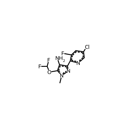 Cn1nc(-c2ncc(Cl)cc2F)c(N)c1OC(F)F